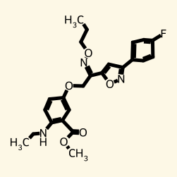 CCCON=C(COc1ccc(NCC)c(C(=O)OC)c1)c1cc(-c2ccc(F)cc2)no1